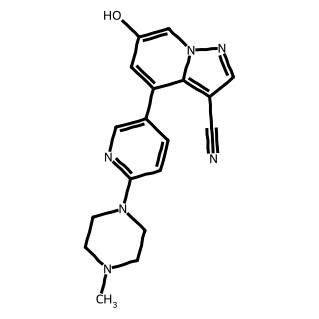 CN1CCN(c2ccc(-c3cc(O)cn4ncc(C#N)c34)cn2)CC1